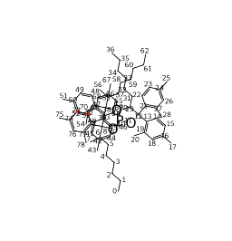 CCCCCCC(C)C(OP(OC(c1ccc(C)cc1C)(c1ccc(C)cc1C)C(C)CCCCCC)OC(c1ccc(C)cc1C)(c1ccc(C)cc1C)C(C)CCCCCC)(c1ccc(C)cc1C)c1ccc(C)cc1C